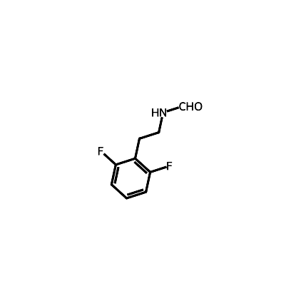 O=CNCCc1c(F)cccc1F